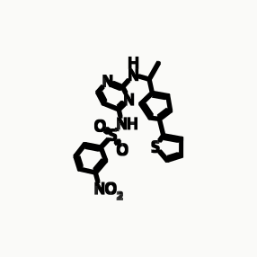 CC(Nc1nccc(NS(=O)(=O)c2cccc([N+](=O)[O-])c2)n1)c1ccc(-c2cccs2)cc1